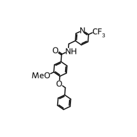 COc1cc(C(=O)NCc2ccc(C(F)(F)F)nc2)ccc1OCc1ccccc1